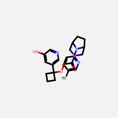 N#Cc1ccc(N2C3CCC2CN(C(=O)COC2(c4cncc(O)c4)CCC2)C3)nc1